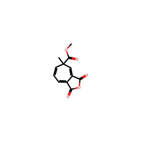 COC(=O)C1(C)C=CC=C2C(=O)OC(=O)C2=C1